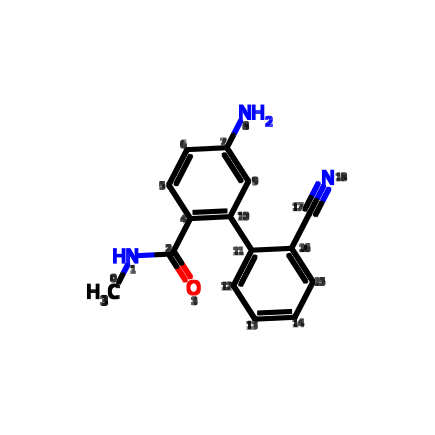 CNC(=O)c1ccc(N)cc1-c1ccccc1C#N